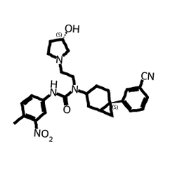 Cc1ccc(NC(=O)N(CCN2CC[C@H](O)C2)C2CC[C@]3(c4cccc(C#N)c4)CC3C2)cc1[N+](=O)[O-]